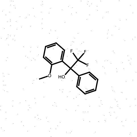 COc1ccccc1C(O)(c1ccccc1)C(F)(F)F